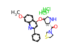 COc1ccc2c(O[C@H]3CN[C@H](C(=O)N4CCSC4)C3)cc(-c3ccccc3)nc2c1.Cl.Cl.Cl